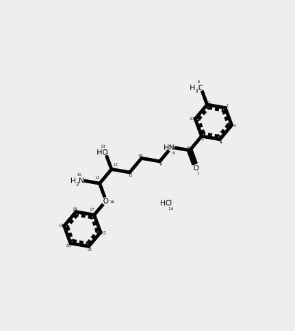 Cc1cccc(C(=O)NCCCC(O)C(N)Oc2ccccc2)c1.Cl